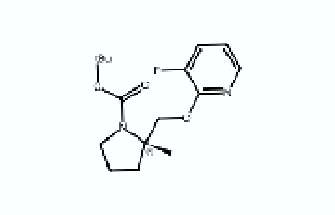 CC(C)(C)OC(=O)N1CCC[C@@]1(C)COc1ncccc1F